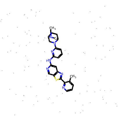 Cc1cccnc1-c1nc2cc(Nc3cccc(N4CC5CCC4CN5C)n3)ncc2s1